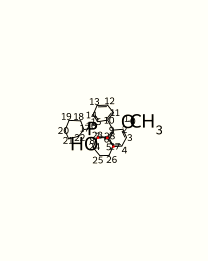 COc1cccc(CO)c1-c1ccccc1P(C1CCCCC1)C1CCCCC1